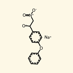 O=[N+]([O-])CC([O-])c1ccc(Oc2ccccc2)cc1.[Na+]